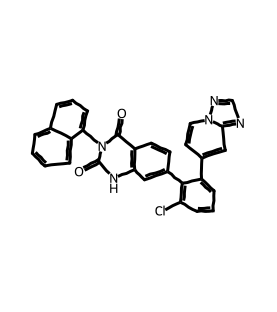 O=c1[nH]c2cc(-c3c(Cl)cccc3-c3ccn4ncnc4c3)ccc2c(=O)n1-c1cccc2ccccc12